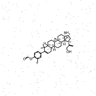 C=C(CO)[C@@H]1CC[C@]2(N)CC[C@]3(C)[C@H](CC[C@@H]4[C@@]5(C)CC=C(c6ccc(OC=O)c(F)c6)C(C)(C)[C@@H]5CC[C@]43C)[C@@H]12